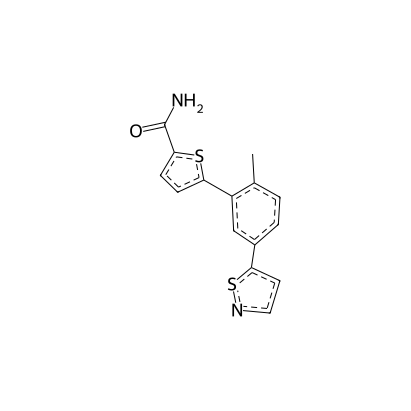 Cc1ccc(-c2ccns2)cc1-c1ccc(C(N)=O)s1